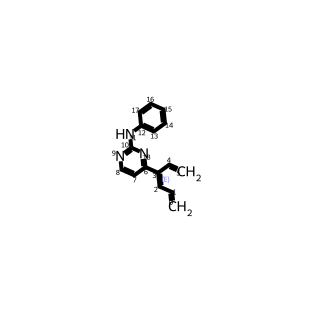 C=C/C=C(\C=C)c1ccnc(Nc2ccccc2)n1